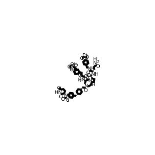 CCS(=O)(=O)c1ccc(CNC(=O)[C@H](CCC(N)=O)NC(=O)[C@@H]2CC[C@@H]3CCN(C(=O)C[C@H]4CC[C@@H](Cc5ccc6c(c5)n(C)c(=O)n6C5CCC(=O)NC5=O)CC4)C[C@H](NC(=O)c4cc5cc(C(=O)P(=O)(O)O)ccc5[nH]4)C(=O)N32)cc1